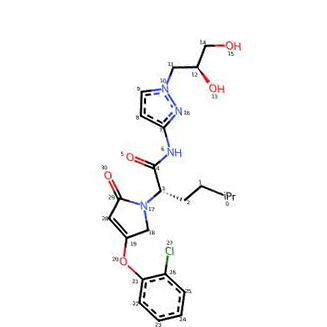 CC(C)CC[C@@H](C(=O)Nc1ccn(C[C@H](O)CO)n1)N1CC(Oc2ccccc2Cl)=CC1=O